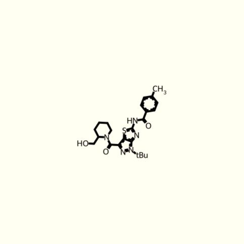 Cc1ccc(C(=O)Nc2nc3c(s2)c(C(=O)N2CCCCC2CO)nn3C(C)(C)C)cc1